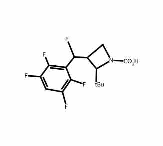 CC(C)(C)C1C(C(F)c2c(F)c(F)cc(F)c2F)CN1C(=O)O